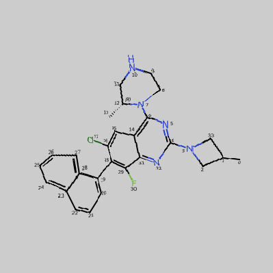 CC1CN(c2nc(N3CCNC[C@H]3C)c3cc(Cl)c(-c4cccc5ccccc45)c(F)c3n2)C1